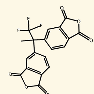 CC(c1ccc2c(c1)C(=O)OC2=O)(c1ccc2c(c1)C(=O)OC2=O)C(F)(F)F